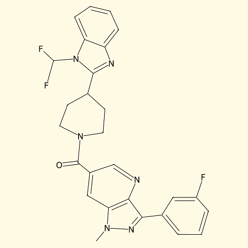 Cn1nc(-c2cccc(F)c2)c2ncc(C(=O)N3CCC(c4nc5ccccc5n4C(F)F)CC3)cc21